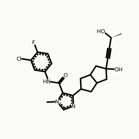 C[C@@H](O)C#CC1(O)CC2CC(c3ncn(C)c3C(=O)Nc3ccc(F)c(Cl)c3)CC2C1